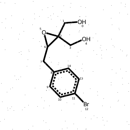 OCC1(CO)OC1Cc1ccc(Br)cc1